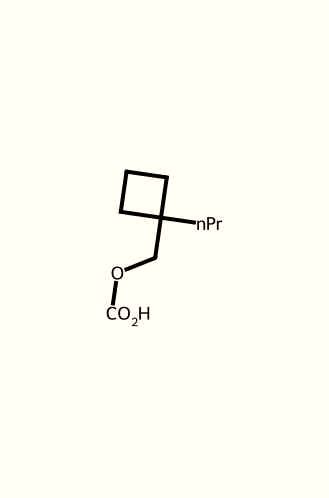 CCCC1(COC(=O)O)CCC1